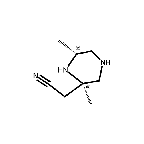 C[C@@H]1CNC[C@@](C)(CC#N)N1